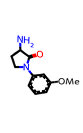 COc1cccc(N2CCC(N)C2=O)c1